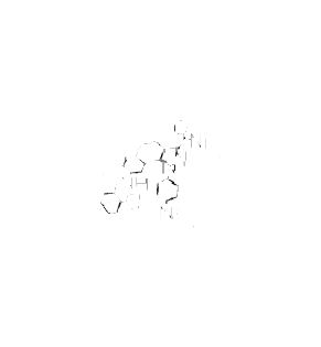 NC(=O)c1nn(-c2ccc([N+](=O)[O-])cc2)c2c1CCc1ccc(NC(=O)c3ccccc3Cl)cc1-2